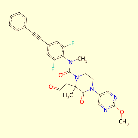 COc1ncc(N2CCN(C(=O)N(C)c3c(F)cc(C#Cc4ccccc4)cc3F)C(C)(CC=O)C2=O)cn1